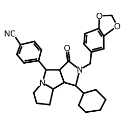 N#Cc1ccc(C2C3C(=O)N(Cc4ccc5c(c4)OCO5)C(C4CCCCC4)C3C3CCCN32)cc1